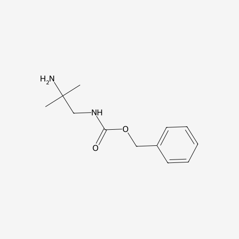 CC(C)(N)CNC(=O)OCc1ccccc1